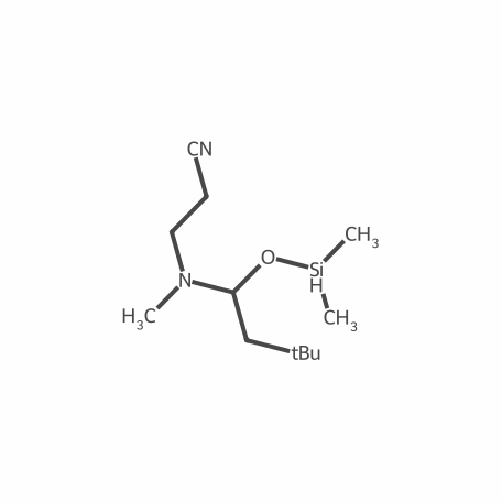 CN(CCC#N)C(CC(C)(C)C)O[SiH](C)C